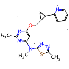 Cc1nc(OCC2CC2c2ccccn2)cc(N(C)c2nnc(C)s2)n1